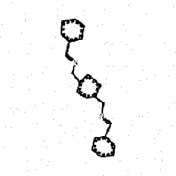 C(=NCc1ccc(CN=Cc2ccccc2)cc1)c1ccccc1